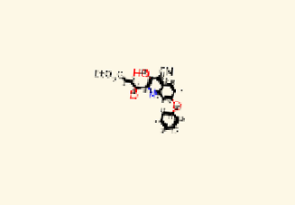 CCOC(=O)CCC(=O)c1nc2cc(Oc3ccccc3)ccc2c(C#N)c1O